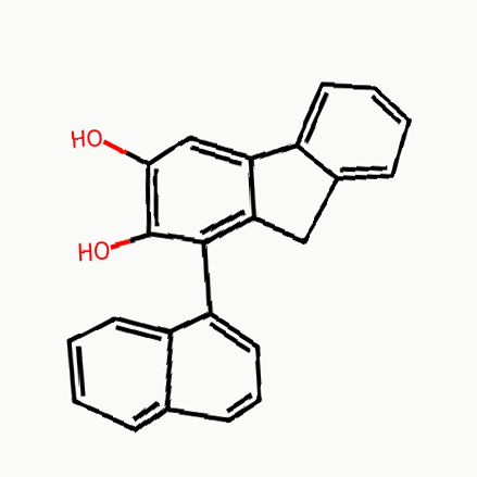 Oc1cc2c(c(-c3cccc4ccccc34)c1O)Cc1ccccc1-2